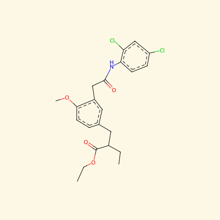 CCOC(=O)C(CC)Cc1ccc(OC)c(CC(=O)Nc2ccc(Cl)cc2Cl)c1